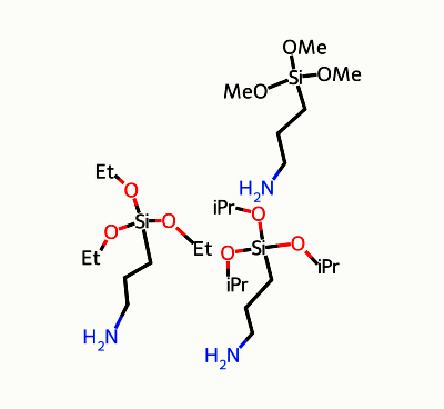 CC(C)O[Si](CCCN)(OC(C)C)OC(C)C.CCO[Si](CCCN)(OCC)OCC.CO[Si](CCCN)(OC)OC